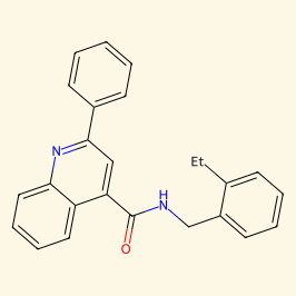 CCc1ccccc1CNC(=O)c1cc(-c2ccccc2)nc2ccccc12